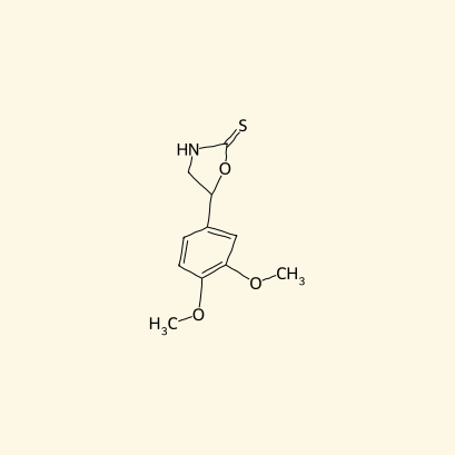 COc1ccc(C2CNC(=S)O2)cc1OC